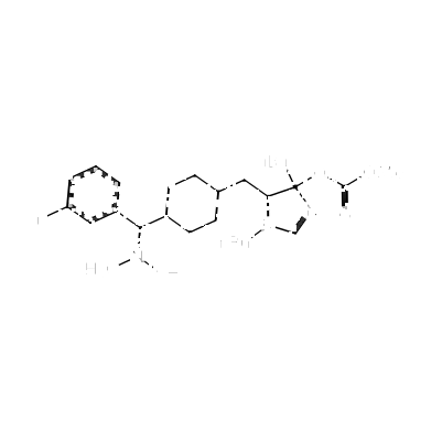 CCCCN1C=NC(OC(=O)OC)(C(C)CC)C1CC1CCC(C(c2cccc(F)c2)N(C)C)CC1